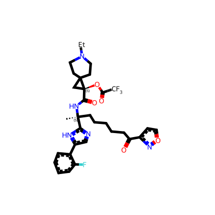 CCN1CCC2(CC1)C[C@@]2(OC(=O)C(F)(F)F)C(=O)N[C@@](C)(CCCCCC(=O)c1ccon1)c1ncc(-c2ccccc2F)[nH]1